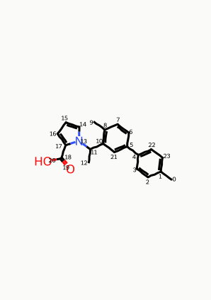 Cc1ccc(-c2ccc(C)c(C(C)n3cccc3C(=O)O)c2)cc1